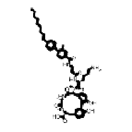 CCCCCCCCCc1ccc(-c2ccc(C(=O)NCCC(=O)N[C@@H](CCCCN)C(=O)N(C)[C@@H]3C(=O)N[C@@H](C)C(=O)N[C@H](C(=O)O)Cc4ccc(O)c(c4)-c4cc3ccc4O)cc2C)cc1